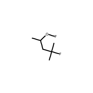 CC(CC(C)(C)F)OF